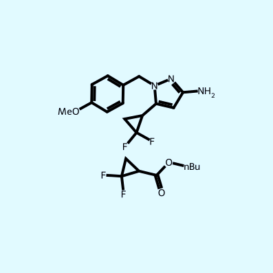 CCCCOC(=O)C1CC1(F)F.COc1ccc(Cn2nc(N)cc2C2CC2(F)F)cc1